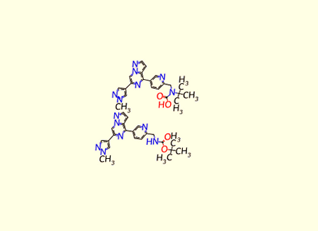 Cn1cc(-c2cn3nccc3c(-c3ccc(CN(C(=O)O)C(C)(C)C)nc3)n2)cn1.Cn1cc(-c2cn3nccc3c(-c3ccc(CNC(=O)OC(C)(C)C)nc3)n2)cn1